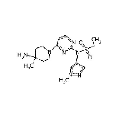 CCS(=O)(=O)N(c1cnn(C)c1)c1nccc(N2CCC(C)(N)CC2)n1